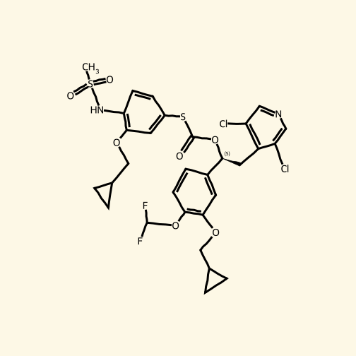 CS(=O)(=O)Nc1ccc(SC(=O)O[C@@H](Cc2c(Cl)cncc2Cl)c2ccc(OC(F)F)c(OCC3CC3)c2)cc1OCC1CC1